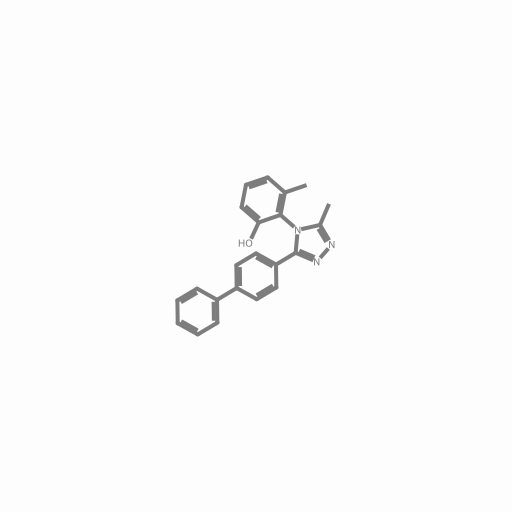 Cc1cccc(O)c1-n1c(C)nnc1-c1ccc(-c2ccccc2)cc1